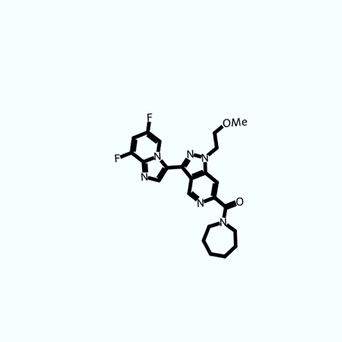 COCCn1nc(-c2cnc3c(F)cc(F)cn23)c2cnc(C(=O)N3CCCCCC3)cc21